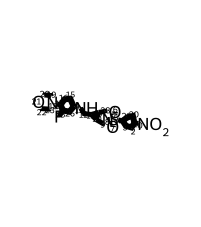 O=[N+]([O-])c1ccc(S(=O)(=O)N2CC3C(CNc4ccc(N5CCOCC5)c(F)c4)C3C2)cc1